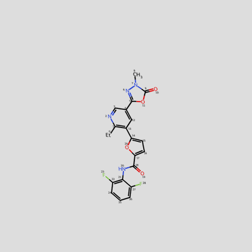 CCc1ncc(-c2nn(C)c(=O)o2)cc1-c1ccc(C(=O)Nc2c(F)cccc2F)o1